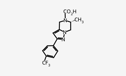 C[C@@H]1Cn2nc(-c3ccc(C(F)(F)F)cc3)cc2CN1C(=O)O